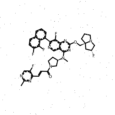 Cc1ncc(F)c(/C=C/C(=O)N2CC[C@@H](N(C)c3nc(OC[C@@]45CCCN4C[C@H](F)C5)nc4c(F)c(-c5cccc6ccc(F)c(F)c56)ncc34)C2)n1